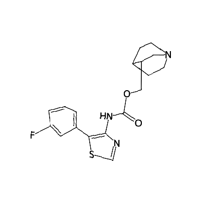 O=C(Nc1ncsc1-c1cccc(F)c1)OCC1CN2CCC1CC2